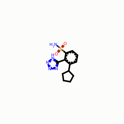 NS(=O)(=O)c1cccc(C2CCCC2)c1-c1nnn[nH]1